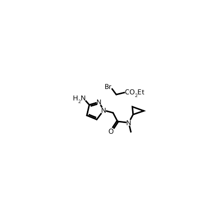 CCOC(=O)CBr.CN(C(=O)Cn1ccc(N)n1)C1CC1